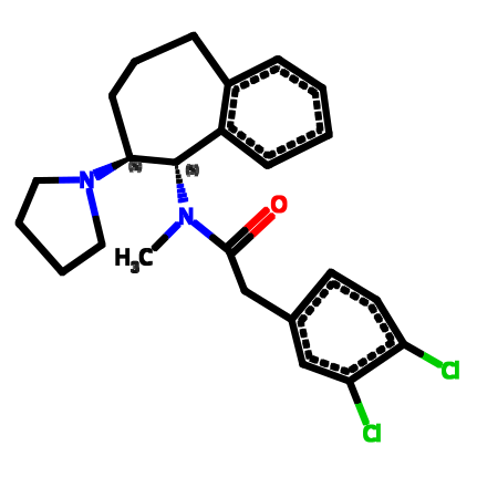 CN(C(=O)Cc1ccc(Cl)c(Cl)c1)[C@H]1c2ccccc2CCC[C@@H]1N1CCCC1